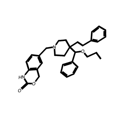 CCCOC(c1ccccc1)C1(CCc2ccccc2)CCN(Cc2ccc3c(c2)COC(=O)N3)CC1